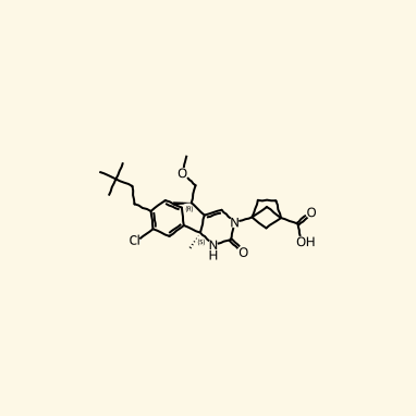 COC[C@H](C)C1=CN(C23CCC(C(=O)O)(C2)C3)C(=O)N[C@@]1(C)c1ccc(CCC(C)(C)C)c(Cl)c1